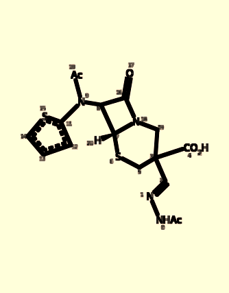 CC(=O)NN=CC1(C(=O)O)CS[C@@H]2C(N(C(C)=O)c3cccs3)C(=O)N2C1